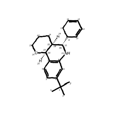 CC(C)(C)c1ccc2c(c1)N[C@@H](C1C=CC=CC1)[C@@H]1CCCO[C@H]21